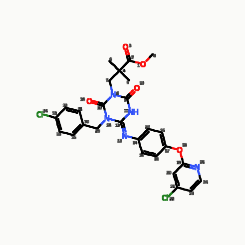 COC(=O)C(C)(C)Cn1c(=O)[nH]/c(=N\c2ccc(Oc3cc(Cl)ccn3)cc2)n(Cc2ccc(Cl)cc2)c1=O